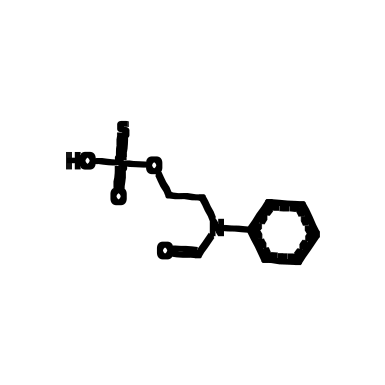 O=CN(CCOS(=O)(O)=S)c1ccccc1